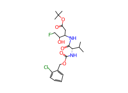 CC(C)[C@H](NC(=O)OCc1ccccc1Cl)C(=O)NC(CC(=O)OC(C)(C)C)C(O)CF